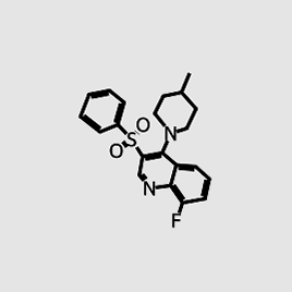 CC1CCN(c2c(S(=O)(=O)c3ccccc3)cnc3c(F)cccc23)CC1